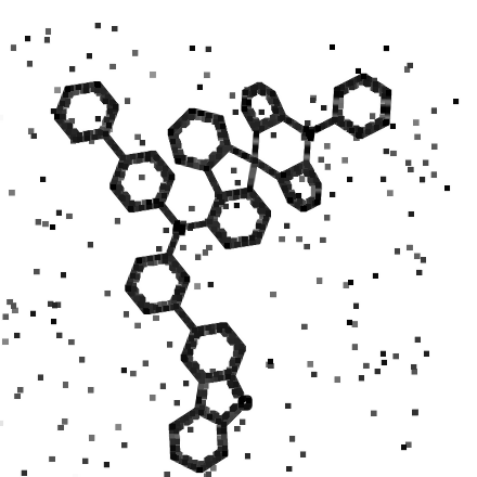 c1ccc(-c2ccc(N(c3cccc(-c4ccc5oc6ccccc6c5c4)c3)c3cccc4c3-c3ccccc3C43c4ccccc4N(c4ccccc4)c4ccccc43)cc2)cc1